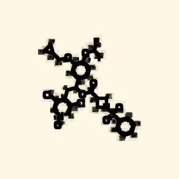 O=C(OC(Cc1c(Cl)c[n+]([O-])cc1Cl)c1ccc(OC(F)F)c(OCC2CC2)c1)C1CN(S(=O)(=O)c2ccccc2)C1